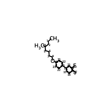 CCCC(C)CCCCOc1ccc(-c2ccc(F)c(F)c2)cc1